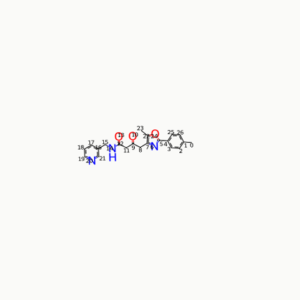 Cc1ccc(-c2nc(CC(=O)CC(=O)NCc3cccnc3)c(C)o2)cc1